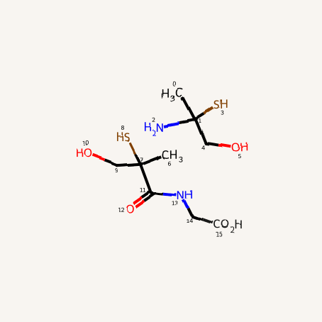 CC(N)(S)CO.CC(S)(CO)C(=O)NCC(=O)O